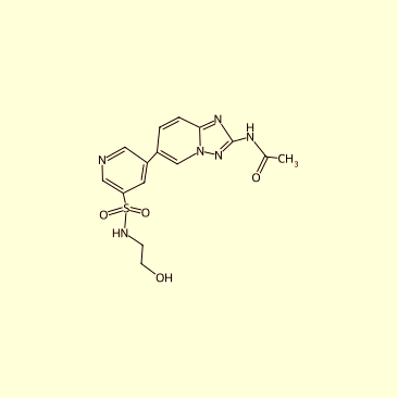 CC(=O)Nc1nc2ccc(-c3cncc(S(=O)(=O)NCCO)c3)cn2n1